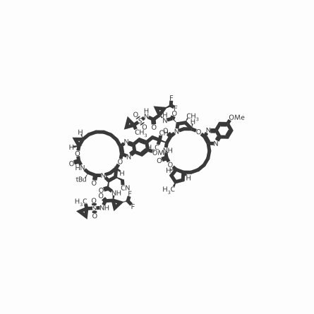 COc1ccc2nc3c(nc2c1)O[C@H]1CN(C(=O)[C@H](C(C)(C)Cc2cc4nc5c(nc4cc2OC)O[C@H]2CN(C(=O)[C@H](C(C)(C)C)NC(=O)O[C@@H]4C[C@H]4CCCCC5)[C@H](C(=O)N[C@]4(C(=O)NS(=O)(=O)C5(C)CC5)C[C@H]4C(F)F)[C@@H]2CC#N)NC(=O)O[C@@H]2C[C@H](C)C[C@H]2CCCCC3)[C@H](C(=O)N[C@]2(C(=O)NS(=O)(=O)C3(C)CC3)C[C@H]2C(F)F)[C@@H]1C